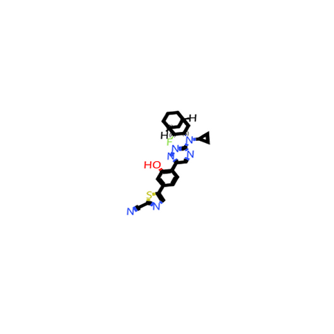 N#Cc1ncc(-c2ccc(-c3cnc(N(C4CC4)[C@H]4C[C@H]5CCC[C@H](C5)[C@H]4F)nn3)c(O)c2)s1